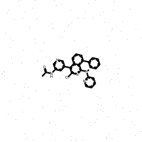 CC(=O)Nc1cncc(-c2c(Cl)nc(N(C)c3ccccn3)c3c(-c4ccccc4)cccc23)c1